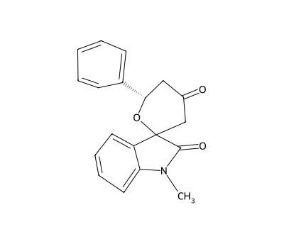 CN1C(=O)C2(CC(=O)C[C@@H](c3ccccc3)O2)c2ccccc21